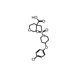 O=C(O)C1(CS(=O)(=O)N2CCC(Oc3ccc(Cl)cc3)CC2)CCOCC1